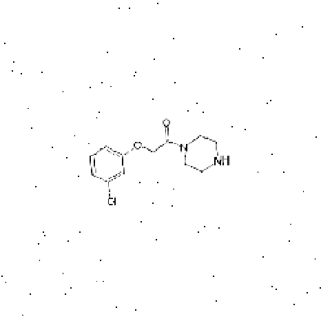 O=C(COc1cccc(Cl)c1)N1CCNCC1